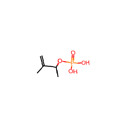 C=C(C)C(C)OP(=O)(O)O